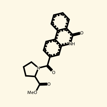 COC(=O)C1CCCN1C(=O)c1ccc2c(c1)[nH]c(=O)c1ccccc12